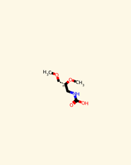 COC[C@@H](CNC(=O)O)OC